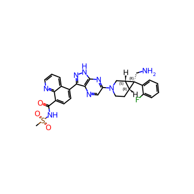 CS(=O)(=O)NC(=O)c1ccc(-c2n[nH]c3nc(N4CC[C@@H]5[C@H](C4)[C@@]5(CN)c4ccccc4F)cnc23)c2cccnc12